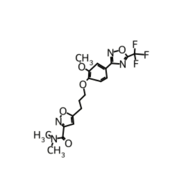 COc1cc(-c2noc(C(F)(F)F)n2)ccc1OCCCc1cc(C(=O)N(C)C)no1